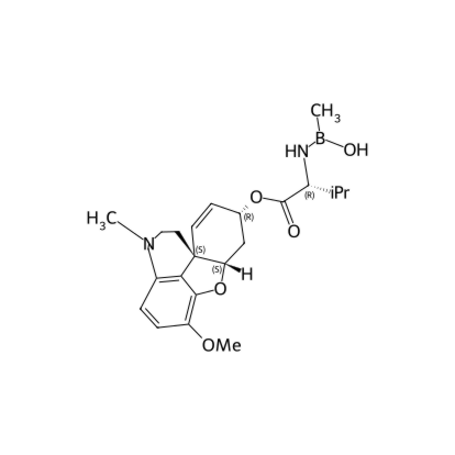 COc1ccc2c3c1O[C@H]1C[C@@H](OC(=O)[C@H](NB(C)O)C(C)C)C=C[C@@]31CCN(C)C2